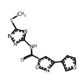 CSc1nnc(NC(=O)c2cc(-c3ccsc3)no2)s1